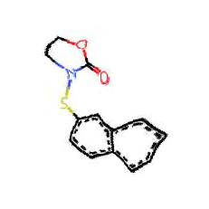 O=C1OCCN1Sc1ccc2ccccc2c1